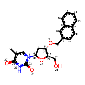 Cc1cn([C@H]2C[C@H](OCc3ccc4ccccc4c3)[C@@H](CO)O2)c(=O)[nH]c1=O